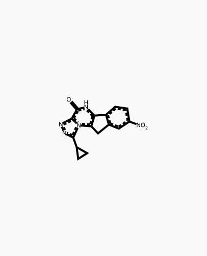 O=c1[nH]c2c(n3c(C4CC4)nnc13)Cc1cc([N+](=O)[O-])ccc1-2